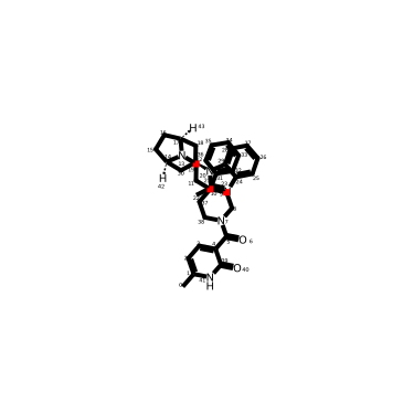 Cc1ccc(C(=O)N2CCC(CCN3[C@@H]4CC[C@H]3C[C@@H](n3c(C)nc5ccccc53)C4)(c3ccccc3)CC2)c(=O)[nH]1